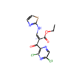 CCOC(=O)/C(=C\Nc1nccs1)C(=O)c1ncc(Cl)nc1Cl